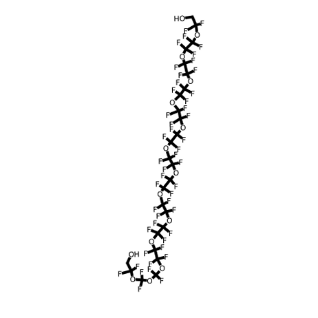 OCC(F)(F)OC(F)(F)OC(F)(F)OC(F)(F)C(F)(F)OC(F)(F)C(F)(F)OC(F)(F)C(F)(F)OC(F)(F)C(F)(F)OC(F)(F)C(F)(F)OC(F)(F)C(F)(F)OC(F)(F)C(F)(F)OC(F)(F)C(F)(F)OC(F)(F)C(F)(F)OC(F)(F)C(F)(F)OC(F)(F)CO